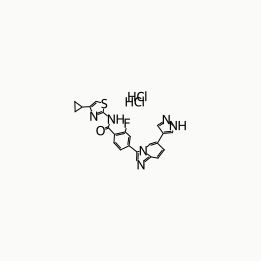 Cl.Cl.O=C(Nc1nc(C2CC2)cs1)c1ccc(-c2cnc3ccc(-c4cn[nH]c4)cn23)cc1F